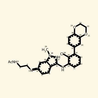 CC(=O)NCCN=c1ccc2c(Nc3cccc(-c4ccc5c(c4)OCCO5)c3Cl)[nH]n(C)c-2c1